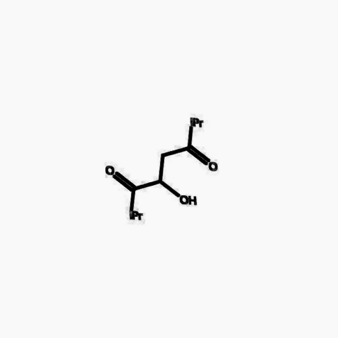 CC(C)C(=O)CC(O)C(=O)C(C)C